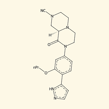 CCCOc1cc(N2CCN3CCN(C#N)C[C@@H]3C2=O)ccc1-c1ccn[nH]1